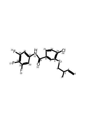 C=CC(C)CSc1cc(C(=O)Nc2cc(F)c(F)c(F)c2)ccc1Cl